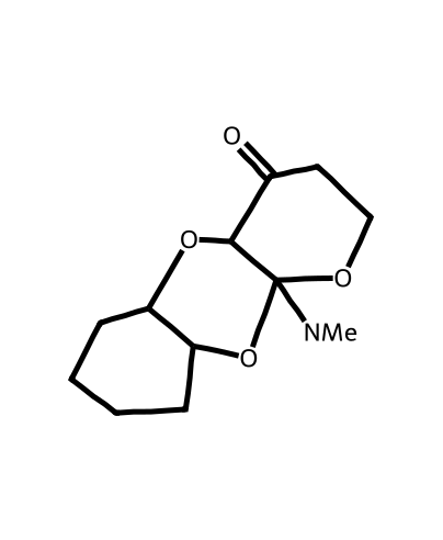 CNC12OCCC(=O)C1OC1CCCCC1O2